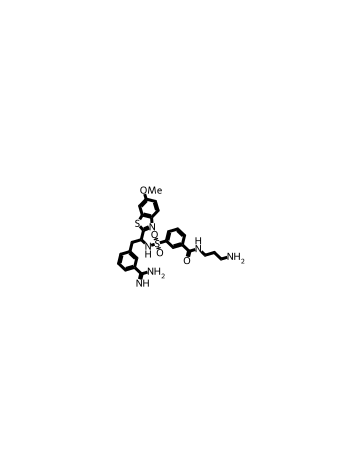 COc1ccc2nc(C(Cc3cccc(C(=N)N)c3)NS(=O)(=O)c3cccc(C(=O)NCCCN)c3)sc2c1